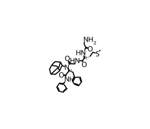 CSCC[C@@H](NC(=O)CN)C(=O)NCC(=O)N(C1C2CC3CC(C2)CC1C3)[C@@H](Cc1ccccc1)C(=O)Nc1ccccc1